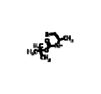 CC(CBr)NC(=O)OC(C)(C)C